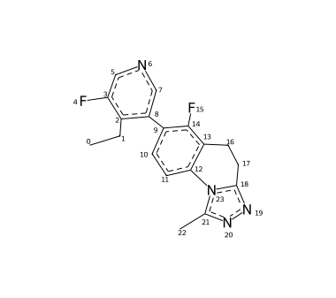 CCc1c(F)cncc1-c1ccc2c(c1F)CCc1nnc(C)n1-2